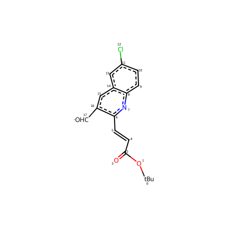 CC(C)(C)OC(=O)/C=C/c1nc2ccc(Cl)cc2cc1[C]=O